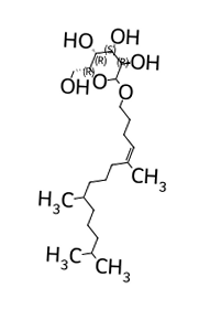 CC(=CCCCOC1O[C@H](CO)[C@H](O)[C@H](O)[C@H]1O)CCCC(C)CCCC(C)C